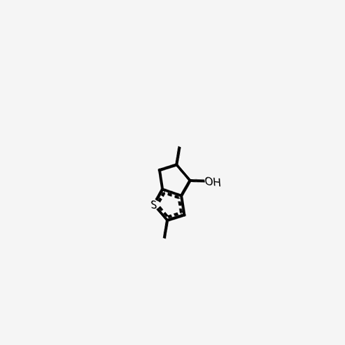 Cc1cc2c(s1)CC(C)C2O